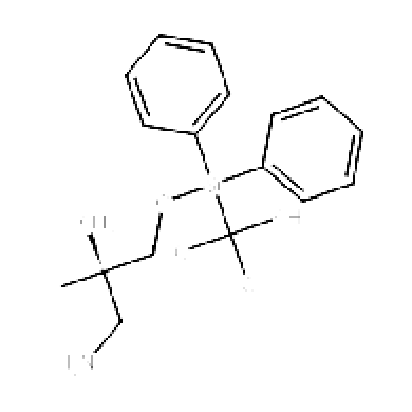 CC(C)(C)[Si](OC[C@@](C)(F)CN)(c1ccccc1)c1ccccc1